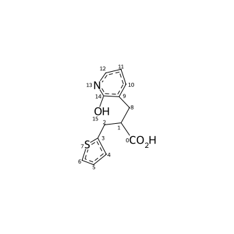 O=C(O)C(Cc1cccs1)Cc1cccnc1O